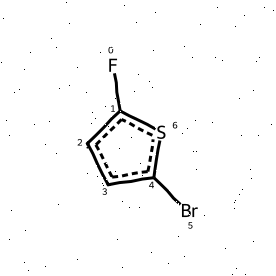 Fc1[c]cc(Br)s1